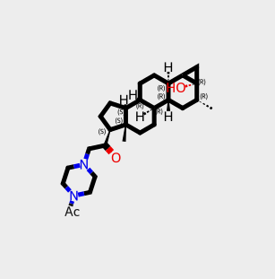 CC(=O)N1CCN(CC(=O)[C@H]2CC[C@H]3[C@@H]4CC[C@H]5C6C[C@@]6(O)[C@H](C)C[C@@H]5[C@H]4CC[C@]23C)CC1